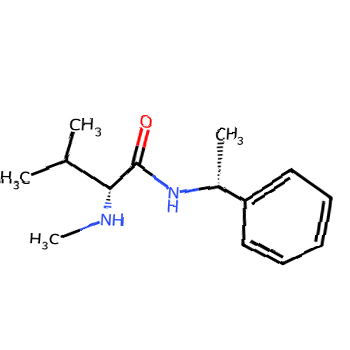 CN[C@@H](C(=O)N[C@H](C)c1ccccc1)C(C)C